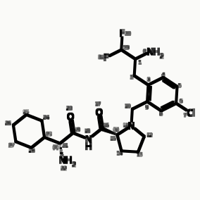 NC(Cc1ccc(Cl)cc1CN1CCC[C@H]1C(=O)NC(=O)[C@H](N)C1CCCCC1)C(F)F